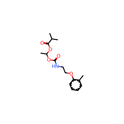 Cc1ccccc1OCCNC(=O)OC(C)OC(=O)C(C)C